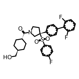 O=C([C@H]1CC[C@H](CO)CC1)N1CC[C@](c2ccc(-c3c(F)cccc3F)cc2)(S(=O)(=O)c2ccc(F)cc2)C1